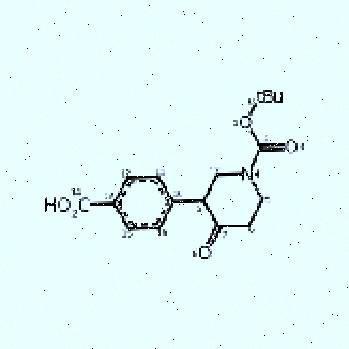 CC(C)(C)OC(=O)N1CCC(=O)C(c2ccc(C(=O)O)cc2)C1